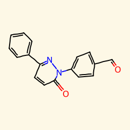 O=Cc1ccc(-n2nc(-c3ccccc3)ccc2=O)cc1